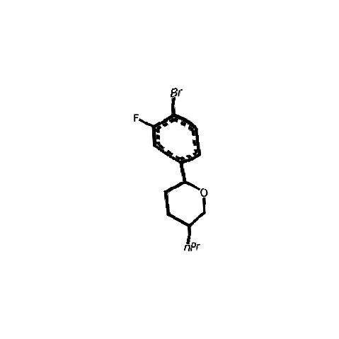 CCCC1CCC(c2ccc(Br)c(F)c2)OC1